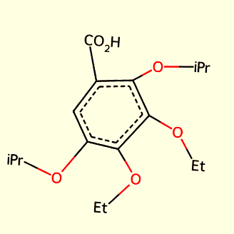 CCOc1c(OC(C)C)cc(C(=O)O)c(OC(C)C)c1OCC